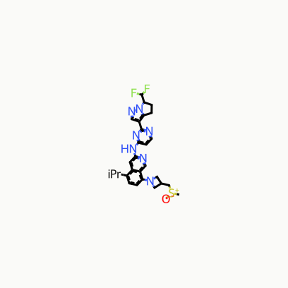 CC(C)c1ccc(N2CC(C[S+](C)[O-])C2)c2cnc(Nc3ccnc(-c4cnn5c4CCC5C(F)F)n3)cc12